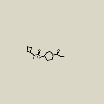 O=C(NC1CCC1)NC1CCN(C(=O)CI)CC1